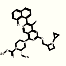 CC(C)(C)OC(=O)N1CCN(c2nc(OCC3CCN3C3CC3)nc3c(F)c(-c4cccc5cccc(Cl)c45)ncc23)C[C@@H]1CC#N